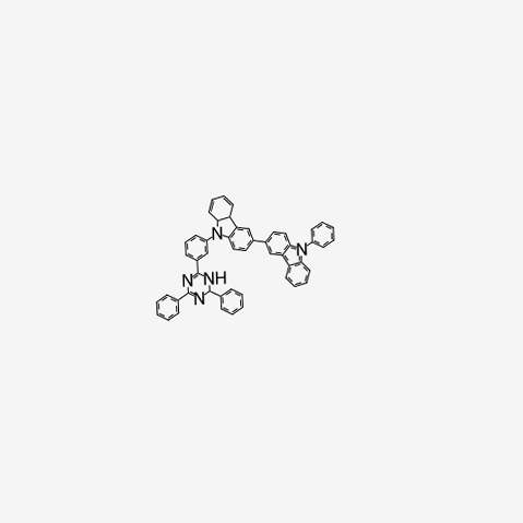 C1=CC2c3cc(-c4ccc5c(c4)c4ccccc4n5-c4ccccc4)ccc3N(c3cccc(C4=NC(c5ccccc5)=NC(c5ccccc5)N4)c3)C2C=C1